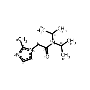 Cc1n[c]cn1CC(=O)N(C(C)C)C(C)C